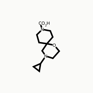 O=C(O)N1CCC2(CC1)CN(C1CC1)CCO2